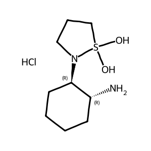 Cl.N[C@@H]1CCCC[C@H]1N1CCCS1(O)O